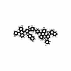 c1ccc(-c2c3ccccc3c(-c3cc4sc5ccc(-c6ccc(-c7c8ccccc8c(-c8c9sc%10ccccc%10c9cc9c8sc8ccc%10ccccc%10c89)c8ccccc78)cc6)cc5c4c4c3sc3cc5ccccc5cc34)c3ccccc23)cc1